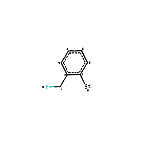 FCc1cccc[c]1[Sn]